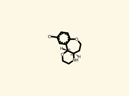 Clc1ccc2c(c1)[C@H]1OCCN[C@@H]1CCO2